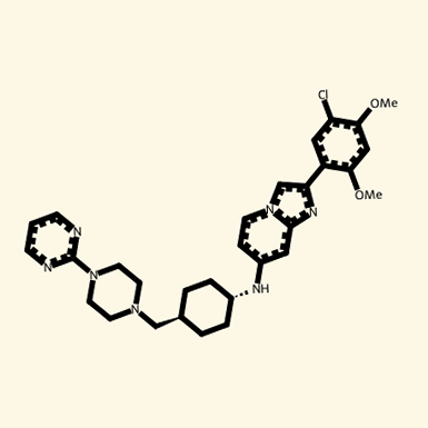 COc1cc(OC)c(-c2cn3ccc(N[C@H]4CC[C@H](CN5CCN(c6ncccn6)CC5)CC4)cc3n2)cc1Cl